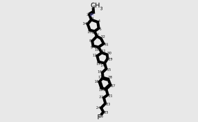 C/C=C/C1CCC(C2CCC(C3CCC(CCc4ccc(CCCCCF)cc4)CC3)CC2)CC1